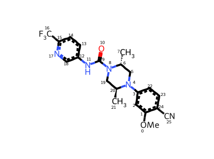 COc1cc(N2C[C@@H](C)N(C(=O)Nc3ccc(C(F)(F)F)nc3)C[C@@H]2C)ccc1C#N